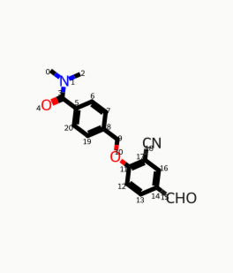 CN(C)C(=O)c1ccc(COc2ccc(C=O)cc2C#N)cc1